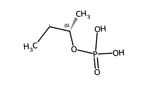 C[CH][C@H](C)OP(=O)(O)O